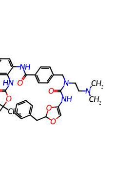 CN(C)CCN(Cc1ccc(C(=O)Nc2ccccc2NC(=O)OC(C)(C)C)cc1)C(=O)NC1=COC(Cc2ccccc2)O1